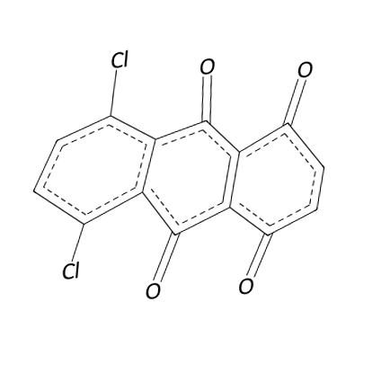 O=c1ccc(=O)c2c(=O)c3c(Cl)ccc(Cl)c3c(=O)c1=2